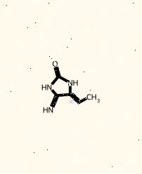 C/C=C1\NC(=O)NC1=N